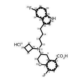 Cl.O=C(O)c1ccc(F)c2c1C[C@H](N(CCCCc1c[nH]c3ccc(F)cc13)C1CCC1)CO2